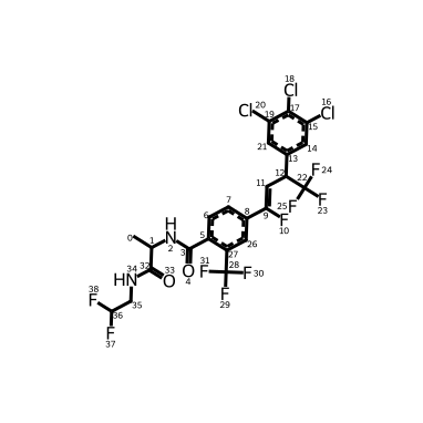 CC(NC(=O)c1ccc(/C(F)=C/C(c2cc(Cl)c(Cl)c(Cl)c2)C(F)(F)F)cc1C(F)(F)F)C(=O)NCC(F)F